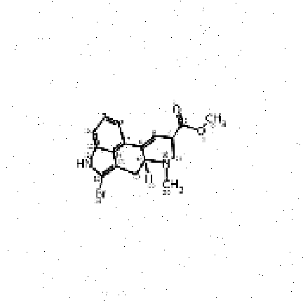 COC(=O)[C@@H]1C=C2c3cccc4[nH]c(Br)c(c34)C[C@H]2N(C)C1